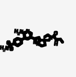 CCNC(=O)N1CC[C@@]2(CCn3nc(-c4cnc(N)c(-c5ccc(S(N)(=O)=O)cc5)c4)cc32)C1